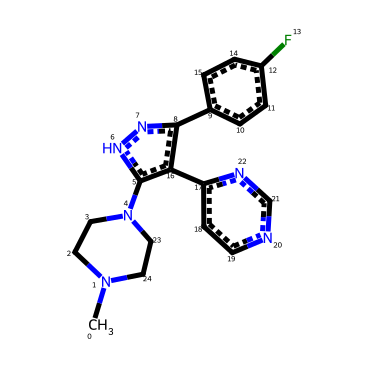 CN1CCN(c2[nH]nc(-c3ccc(F)cc3)c2-c2ccncn2)CC1